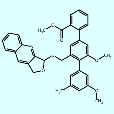 COC(=O)c1ccccc1-c1cc(COC2OCc3cc4ccccc4nc32)c(-c2cc(C)cc(OC)c2)c(OC)c1